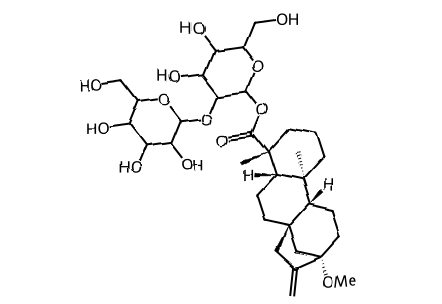 C=C1C[C@@]23CC[C@H]4[C@@](C)(CCC[C@@]4(C)C(=O)OC4OC(CO)C(O)C(O)C4OC4OC(CO)C(O)C(O)C4O)[C@@H]2CC[C@]1(OC)C3